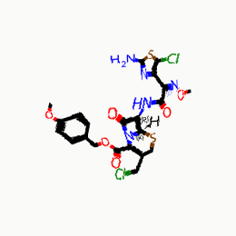 CO/N=C(\C(=O)N[C@@H]1C(=O)N2C(C(=O)OCc3ccc(OC)cc3)=C(CCl)CS[C@H]12)c1nc(N)sc1Cl